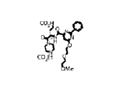 CCOC(=O)N1CCN(C(=O)[C@H](CCC(=O)O)NC(=O)c2cc(OCCOCCOC)nc(-c3ccccc3)n2)CC1